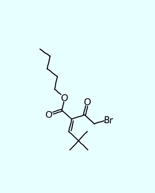 CCCCCOC(=O)C(=CC(C)(C)C)C(=O)CBr